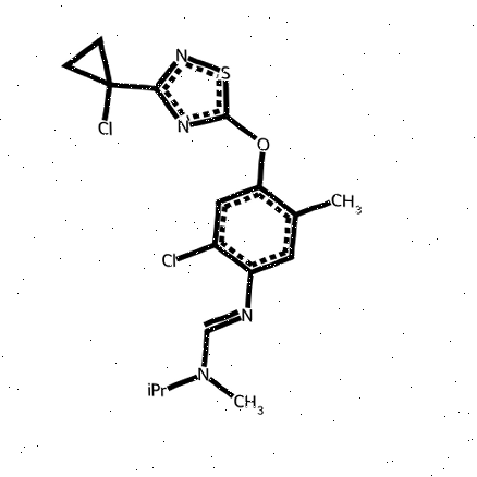 Cc1cc(N=CN(C)C(C)C)c(Cl)cc1Oc1nc(C2(Cl)CC2)ns1